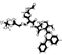 CC(C)(C)OC(=O)CON=C(C(=O)NC1C(=O)N2C(C(=O)OC(c3ccccc3)c3ccccc3)=C(CCl)CS[C@@H]12)c1csc(NC=O)n1